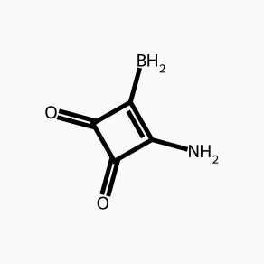 Bc1c(N)c(=O)c1=O